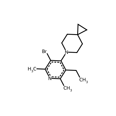 CCc1c(C)nc(C)c(Br)c1N1CCC2(CC1)CC2